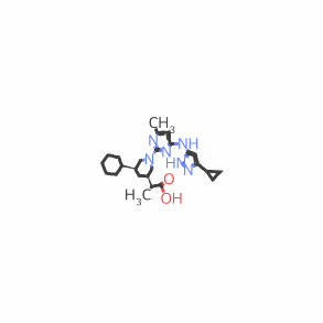 Cc1cc(Nc2cc(C3CC3)n[nH]2)nc(N2C[C@H](C3CCCCC3)C[C@H](C(C)C(=O)O)C2)n1